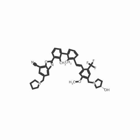 COc1cc(/C=C/c2cccc(-c3cccc(-c4nc5cc(CN6CCCC6)cc(C#N)c5o4)c3C)c2C)c(C(F)(F)F)cc1CN1CC[C@H](O)C1